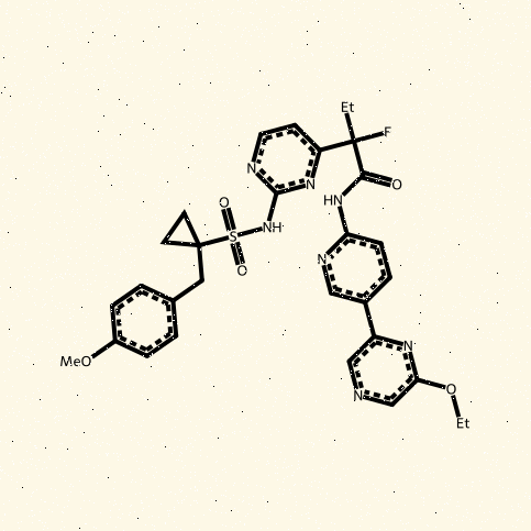 CCOc1cncc(-c2ccc(NC(=O)C(F)(CC)c3ccnc(NS(=O)(=O)C4(Cc5ccc(OC)cc5)CC4)n3)nc2)n1